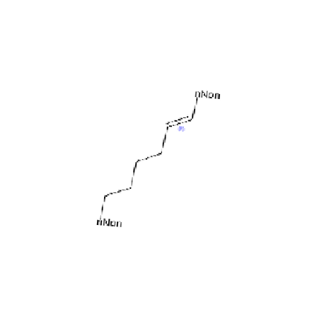 [CH2]CCCCCCCC/C=C/CCCCCCCCCCCC[CH2]